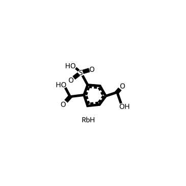 O=C(O)c1ccc(C(=O)O)c(S(=O)(=O)O)c1.[RbH]